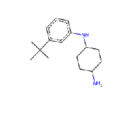 CC(C)(C)c1cccc(NC2CCC(N)CC2)c1